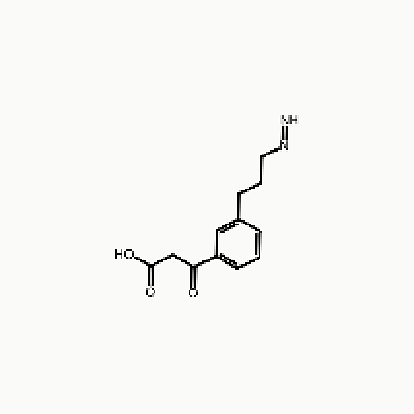 N=NCCCc1cccc(C(=O)CC(=O)O)c1